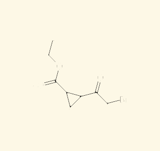 CCOC(=O)C1CC1C(=O)CBr